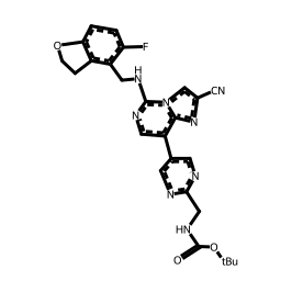 CC(C)(C)OC(=O)NCc1ncc(-c2cnc(NCc3c(F)ccc4c3CCO4)n3cc(C#N)nc23)cn1